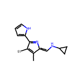 CCC1=C(C)C(=CNC2CC2)N=C1c1ccc[nH]1